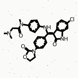 CN(C)CC(=O)N(C)c1ccc(NC(=C2C(=O)Nc3cc(Cl)ccc32)c2ccc(N3CCOC3=O)cc2)cc1